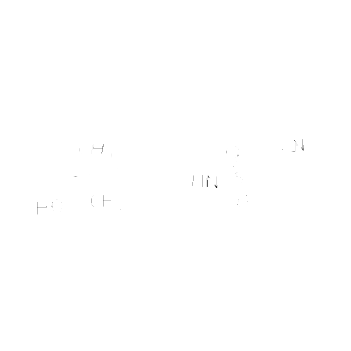 CC(C)(CO)c1ccc(CNS(=O)(=O)c2cccnc2)cc1